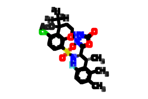 [2H]C([2H])([2H])C1(OC(C)=O)CCOc2c(S(=O)(=O)N[C@H](c3n[nH]c(=O)o3)[C@H](C)c3c(F)ccc(C)c3C)ccc(Cl)c21